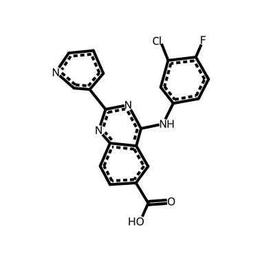 O=C(O)c1ccc2nc(-c3cccnc3)nc(Nc3ccc(F)c(Cl)c3)c2c1